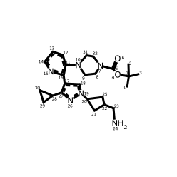 CC(C)(C)OC(=O)N1CCN(c2cccnc2-c2cn(C3CC(CN)C3)nc2C2CC2)CC1